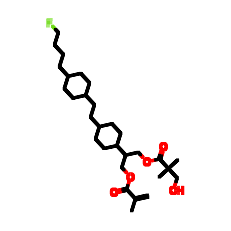 C=C(C)C(=O)OCC(COC(=O)C(C)(C)CO)C1CCC(CCC2CCC(CCCCF)CC2)CC1